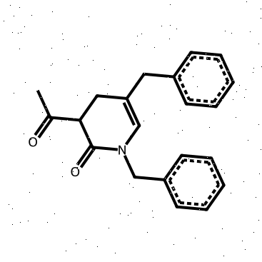 CC(=O)C1CC(Cc2ccccc2)=CN(Cc2ccccc2)C1=O